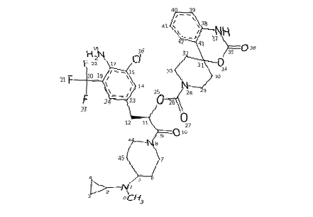 CN(C1CC1)C1CCN(C(=O)[C@@H](Cc2cc(Cl)c(N)c(C(F)(F)F)c2)OC(=O)N2CCC3(CC2)OC(=O)Nc2ccccc23)CC1